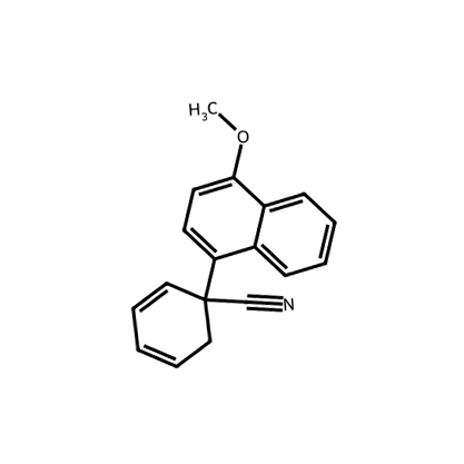 COc1ccc(C2(C#N)C=CC=CC2)c2ccccc12